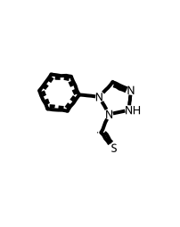 S=[C]N1NN=CN1c1ccccc1